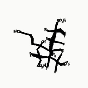 O=S(=O)(O)C(F)(F)C(F)(F)C(F)(C(F)(F)F)C(O)(CCO)C(F)(C(F)(F)C(F)(F)C(F)(F)F)S(=O)(=O)O